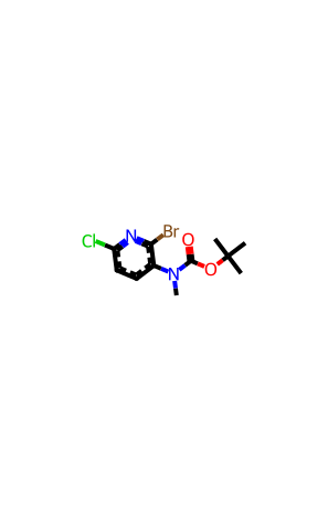 CN(C(=O)OC(C)(C)C)c1ccc(Cl)nc1Br